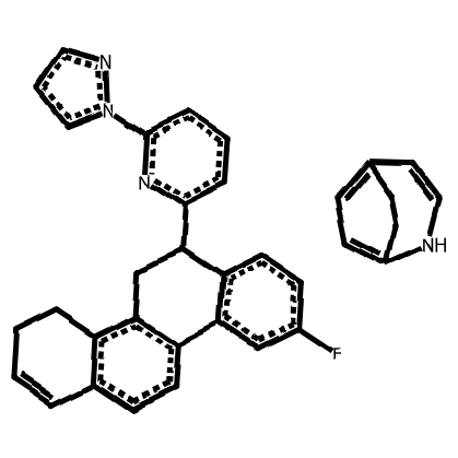 C1=CC2=CC=C(CC2)N1.Fc1ccc2c(c1)-c1ccc3c(c1CC2c1cccc(-n2cccn2)n1)CCC=C3